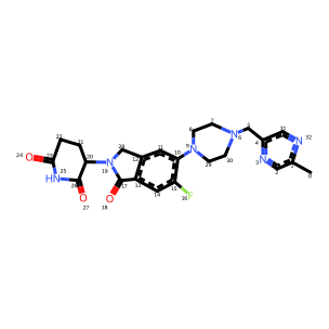 Cc1cnc(CN2CCN(c3cc4c(cc3F)C(=O)N(C3CCC(=O)NC3=O)C4)CC2)cn1